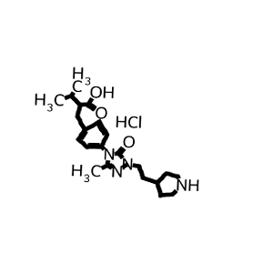 Cc1nn(CCC2CCNCC2)c(=O)n1-c1ccc(CC(C(=O)O)C(C)C)cc1.Cl